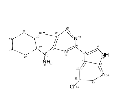 NN(c1nc(-c2c[nH]c3c2=CC(Cl)CN=3)ncc1F)C1CCCCC1